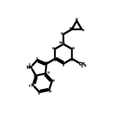 CC1C=C(c2c[nH]c3ncccc23)CN(CC2CC2)C1